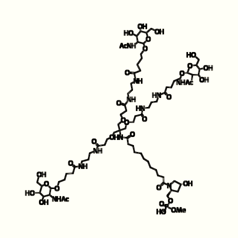 COP(=O)(O)OC[C@@H]1C[C@@H](O)CN1C(=O)CCCCCCCCCCC(=O)NC(COCCC(=O)NCCCNC(=O)CCCCOC1OC(CO)C(O)C(O)C1NC(C)=O)(COCCC(=O)NCCCNC(=O)CCCCOC1OC(CO)C(O)C(O)C1NC(C)=O)COCCC(=O)NCCCNC(=O)CCCCOC1OC(CO)C(O)C(O)C1NC(C)=O